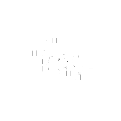 C[C@@H](O)[C@@H]1C(=O)N2[C@@H]1SC(C)(C)[C@]2(Br)C(=O)OC(C)(C)C